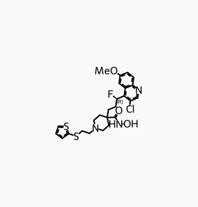 COc1ccc2ncc(Cl)c([C@H](F)CCC3(C(=O)NO)CCN(CCSc4cccs4)CC3)c2c1